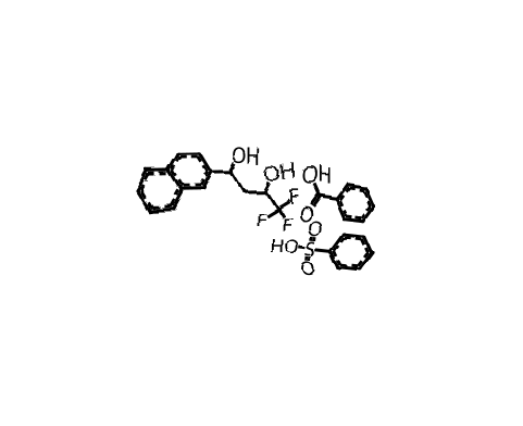 O=C(O)c1ccccc1.O=S(=O)(O)c1ccccc1.OC(CC(O)C(F)(F)F)c1ccc2ccccc2c1